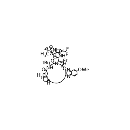 CC[C@H]1C(C(=O)N[C@]2(C(=O)NS(=O)(=O)C3(C)CC3)C[C@H]2C(F)F)N2C[C@@H]1Oc1nc3cc(OC)ccc3nc1CCCCCC[C@@H]1CCC[C@@]1(C)OC(=O)N[C@@H](C(C)(C)C)C2=O